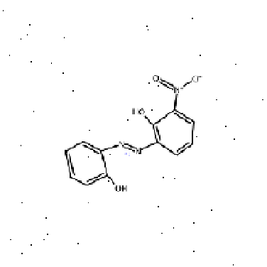 O=[N+]([O-])c1cccc(/N=N/c2ccccc2O)c1O